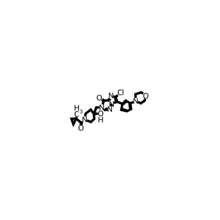 CC1(C(=O)N2CCC(O)(Cn3cnn4c(-c5cccc(N6CCOCC6)c5)c(Cl)nc4c3=O)CC2)CC1